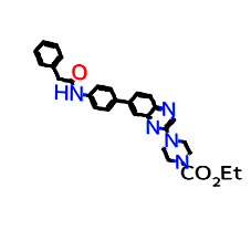 CCOC(=O)N1CCN(c2cnc3ccc(-c4ccc(NC(=O)Cc5ccccc5)cc4)cc3n2)CC1